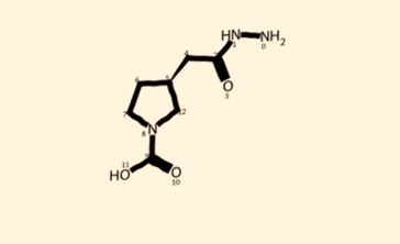 NNC(=O)C[C@@H]1CCN(C(=O)O)C1